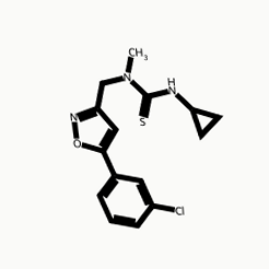 CN(Cc1cc(-c2cccc(Cl)c2)on1)C(=S)NC1CC1